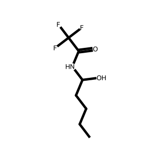 CCCCC(O)NC(=O)C(F)(F)F